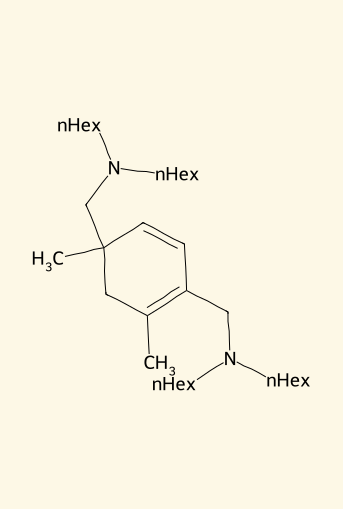 CCCCCCN(CCCCCC)CC1=C(C)CC(C)(CN(CCCCCC)CCCCCC)C=C1